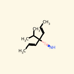 CC=CC(B=N)(C=CC)C(C)C